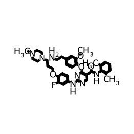 COc1cc(CCN)ccc1Oc1nc(Nc2ccc(OCCCN3CCN(C)CC3)c(F)c2)ncc1C(=O)Nc1c(C)cccc1C